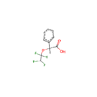 CC(OC(F)(F)C(F)F)(C(=O)O)c1ccccc1